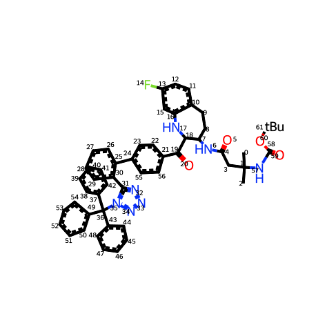 CC(C)(CC(=O)NC1CCc2ccc(F)cc2NC1C(=O)c1ccc(-c2ccccc2-c2nnnn2C(c2ccccc2)(c2ccccc2)c2ccccc2)cc1)NC(=O)OC(C)(C)C